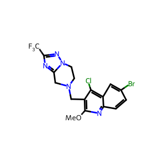 COc1nc2ccc(Br)cc2c(Cl)c1CN1CCn2nc(C(F)(F)F)nc2C1